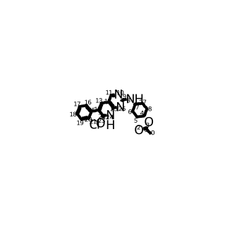 CC(=O)OC1CCC(Nc2ncc3cc(-c4ccccc4Cl)c(=O)[nH]c3n2)CC1